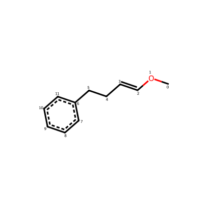 COC=CCCc1ccccc1